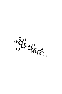 C[C@H](CS(=O)(=O)CC(F)(F)F)NC(=O)c1ccc(/C(F)=C/C(c2cc(Cl)c(Cl)c(Cl)c2)C(F)(F)F)cc1Cl